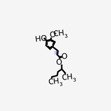 CCCCC(CC)COC(=O)/C=C/c1ccc(O)c(OC)c1